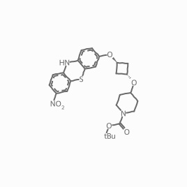 CC(C)(C)OC(=O)N1CCC(O[C@H]2C[C@H](Oc3ccc4c(c3)Sc3cc([N+](=O)[O-])ccc3N4)C2)CC1